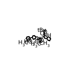 Cc1cccc(-c2ccc(C[C@H]3[C@H](C[C@@H](Cc4ccccc4)NC(=O)OC(C)(C)C)OC(C)(C)N3C(=O)O)cc2)n1